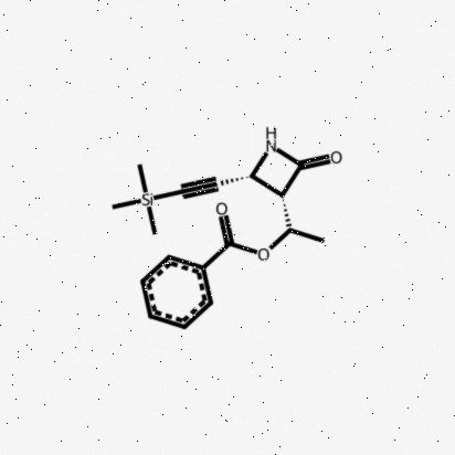 CC(OC(=O)c1ccccc1)[C@H]1C(=O)N[C@H]1C#C[Si](C)(C)C